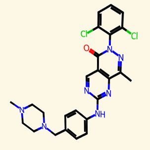 Cc1nn(-c2c(Cl)cccc2Cl)c(=O)c2cnc(Nc3ccc(CN4CCN(C)CC4)cc3)nc12